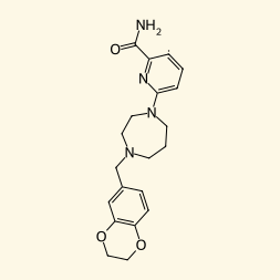 NC(=O)c1[c]ccc(N2CCCN(Cc3ccc4c(c3)OCCO4)CC2)n1